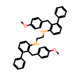 COc1ccc(Cc2c(PCCPc3cccc(-c4ccccc4)c3Cc3ccc(OC)cc3)cccc2-c2ccccc2)cc1